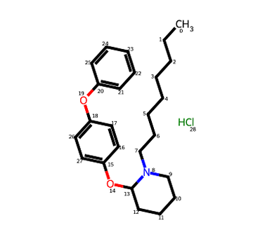 CCCCCCCCN1CCCCC1Oc1ccc(Oc2ccccc2)cc1.Cl